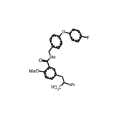 CCCC(Cc1ccc(OC)c(C(=O)NCc2ccc(Oc3ccc(F)cc3)cc2)c1)C(=O)O